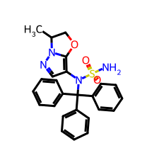 CC1COc2c(N(C(c3ccccc3)(c3ccccc3)c3ccccc3)S(N)(=O)=O)cnn21